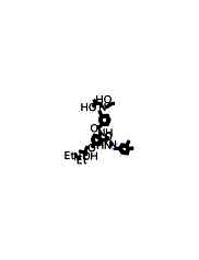 CCN(CC)CC(O)COc1ccc(NC(=O)c2cccc(CN(CC(C)O)CC(C)O)c2)c(C(=O)N/N=C/c2ccc(C)c(C)c2)c1